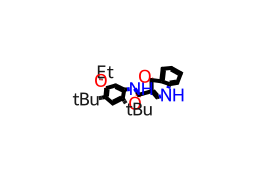 CCOc1cc(NC(=O)c2c[nH]c3ccccc3c2=O)c(C(C)(C)C)cc1C(C)(C)C